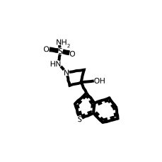 NS(=O)(=O)NN1CC(O)(c2csc3ccccc23)C1